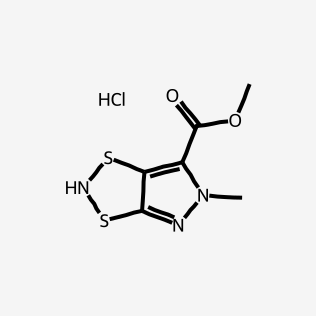 COC(=O)c1c2c(nn1C)SNS2.Cl